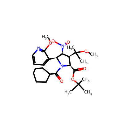 COc1ncccc1[C@H]1[C@@H]([N+](=O)[O-])[C@@H](C(C)(C)OC)[C@@H](C(=O)OC(C)(C)C)N1C(=O)C1CCCCC1